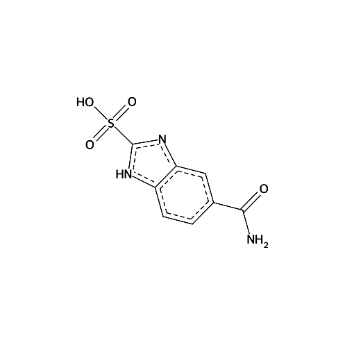 NC(=O)c1ccc2[nH]c(S(=O)(=O)O)nc2c1